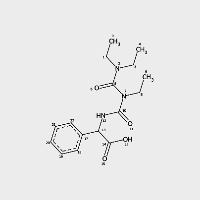 CCN(CC)C(=O)N(CC)C(=O)NC(C(=O)O)c1ccccc1